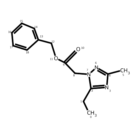 CCc1nc(C)nn1CC(=O)OCc1ccccc1